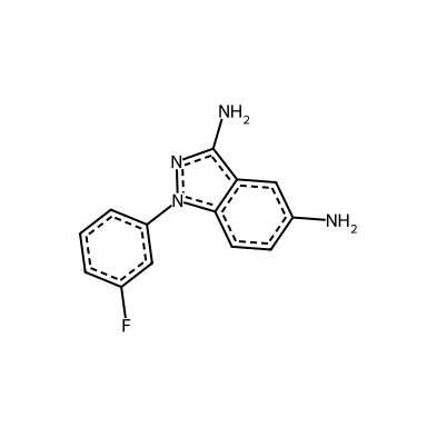 Nc1ccc2c(c1)c(N)nn2-c1cccc(F)c1